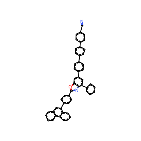 N#Cc1ccc(-c2ccc(-c3ccc(-c4cc(-c5ccccc5)c5nc(-c6ccc(-c7cc8ccccc8c8ccccc78)cc6)oc5c4)cc3)cc2)cc1